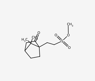 COS(=O)(=O)CCC12CCC(CC1=O)C2(C)C